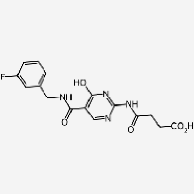 O=C(O)CCC(=O)Nc1ncc(C(=O)NCc2cccc(F)c2)c(O)n1